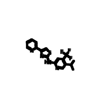 CC(C)c1cnc(Nc2nc(-c3ccccn3)cs2)cc1C(F)(F)F